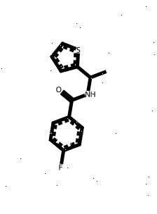 CC(NC(=O)c1ccc(F)cc1)c1cccs1